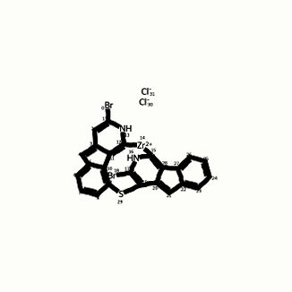 Brc1cc2cc3cccc4c3c-2[c]([nH]1)[Zr+2][c]1[nH]c(Br)c(c2cc3ccccc3c1-2)S4.[Cl-].[Cl-]